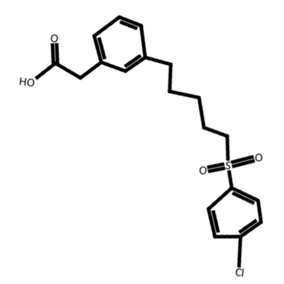 O=C(O)Cc1cccc(CCCCCS(=O)(=O)c2ccc(Cl)cc2)c1